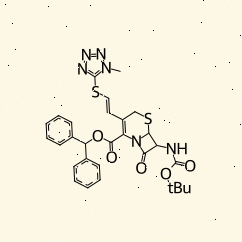 Cn1nnnc1SC=CC1=C(C(=O)OC(c2ccccc2)c2ccccc2)N2C(=O)C(NC(=O)OC(C)(C)C)C2SC1